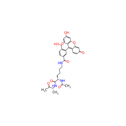 CC(=O)N[C@H](CCCCNC(=O)c1ccc(C(=O)O)c(-c2c3ccc(=O)cc-3oc3cc(O)ccc23)c1)C(=O)N[C@H](C)C(C)=O